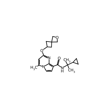 Cc1cc(OC2CC3(COC3)C2)nc2c(C(=O)NC(C)(C)C3CC3)ccn12